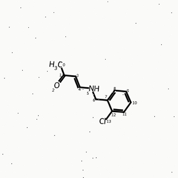 CC(=O)C=CNCc1ccccc1Cl